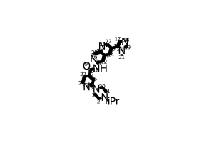 CC(C)N1CCN(c2cc(C(=O)Nc3cc4cc(-c5cncn5C)cnc4cn3)ccn2)CC1